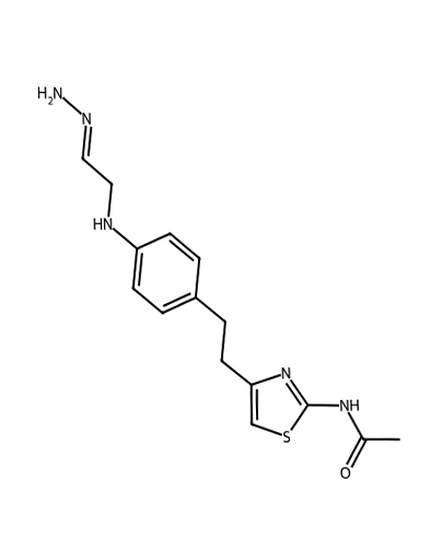 CC(=O)Nc1nc(CCc2ccc(NCC=NN)cc2)cs1